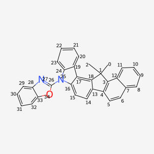 CC1(C)c2c(ccc3ccccc23)-c2ccc3c(c21)c1ccccc1n3-c1nc2ccccc2o1